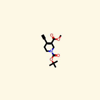 C#CC1=C(C(=O)OC)CN(C(=O)OC(C)(C)C)CC1